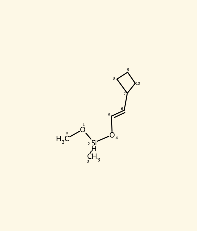 CO[SiH](C)OC=CC1CCC1